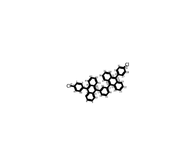 Clc1ccc(-c2c3ccccc3c(-c3cccc(-c4c5ccccc5c(-c5ccc(Cl)cc5)c5ccccc45)c3)c3ccccc23)cc1